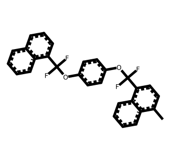 Cc1ccc(C(F)(F)Oc2ccc(OC(F)(F)c3cccc4ccccc34)cc2)c2ccccc12